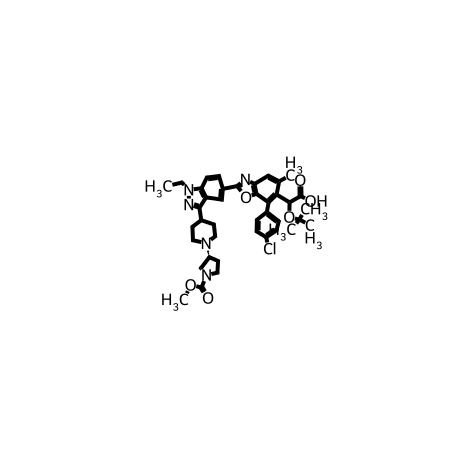 CCn1nc(C2CCN([C@@H]3CCN(C(=O)OC)C3)CC2)c2cc(-c3nc4cc(C)c(C(OC(C)(C)C)C(=O)O)c(-c5ccc(Cl)cc5)c4o3)ccc21